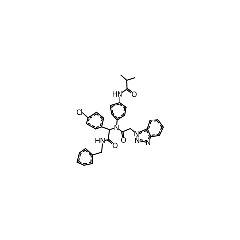 CC(C)C(=O)Nc1ccc(N(C(=O)Cn2nnc3ccccc32)C(C(=O)NCc2ccccc2)c2ccc(Cl)cc2)cc1